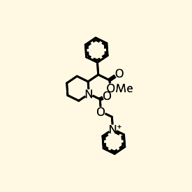 COC(=O)C(c1ccccc1)C1CCCCN1C(=O)OC[n+]1ccccc1